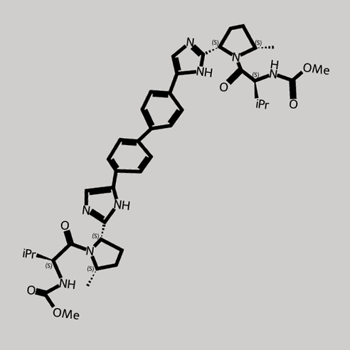 COC(=O)N[C@H](C(=O)N1[C@@H](C)CC[C@H]1c1ncc(-c2ccc(-c3ccc(-c4cnc([C@@H]5CC[C@H](C)N5C(=O)[C@@H](NC(=O)OC)C(C)C)[nH]4)cc3)cc2)[nH]1)C(C)C